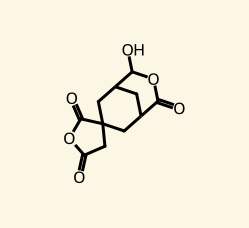 O=C1CC2(CC3CC(C2)C(O)OC3=O)C(=O)O1